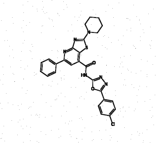 O=C(Nc1nnc(-c2ccc(Cl)cc2)o1)c1cc(-c2ccccc2)nc2nc(N3CCCCC3)sc12